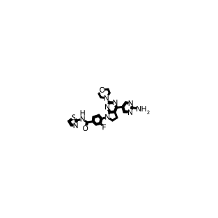 Nc1ncc(-c2nc(N3CCOCC3)nc3c2CCN3c2ccc(C(=O)Nc3nccs3)cc2F)cn1